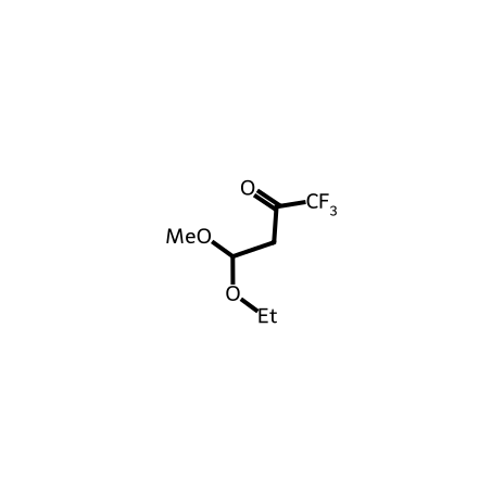 CCOC(CC(=O)C(F)(F)F)OC